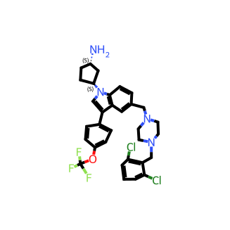 N[C@H]1CC[C@H](n2cc(-c3ccc(OC(F)(F)F)cc3)c3cc(CN4CCN(Cc5c(Cl)cccc5Cl)CC4)ccc32)C1